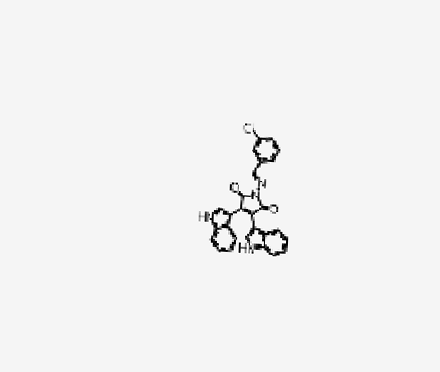 O=C1C(c2c[nH]c3ccccc23)=C(c2c[nH]c3ccccc23)C(=O)N1/N=C/c1cccc(Cl)c1